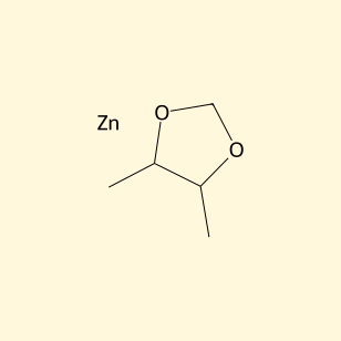 CC1OCOC1C.[Zn]